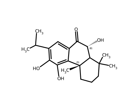 CC(C)c1cc2c(c(O)c1O)[C@@]1(C)CCCC(C)(C)C1[C@@H](O)C2=O